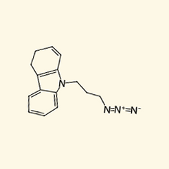 [N-]=[N+]=NCCCn1c2c(c3ccccc31)CCC=C2